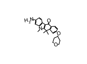 Cn1c2c(c3ccc(N)cc31)C(=O)c1ccc(OC3CCOCC3)cc1C2(C)C